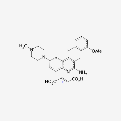 COc1cccc(F)c1Cc1cc2cc(N3CCN(C)CC3)ccc2nc1N.O=C(O)/C=C/C(=O)O